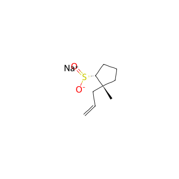 C=CC[C@@]1(C)CCC[C@H]1S(=O)[O-].[Na+]